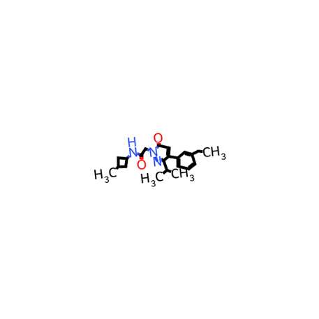 CCc1cccc(-c2cc(=O)n(CC(=O)NC3CC(C)C3)nc2C(C)C)c1